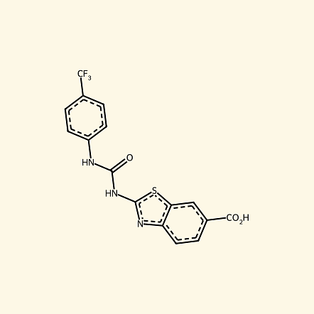 O=C(Nc1ccc(C(F)(F)F)cc1)Nc1nc2ccc(C(=O)O)cc2s1